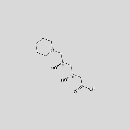 N#CC(=O)C[C@H](O)C[C@@H](O)CN1CCCCC1